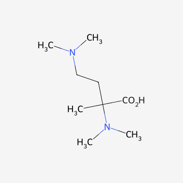 CN(C)CCC(C)(C(=O)O)N(C)C